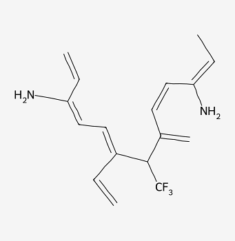 C=C/C(N)=C\C=C(/C=C)C(C(=C)/C=C\C(N)=C/C)C(F)(F)F